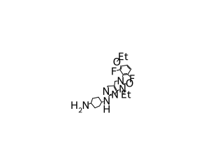 CCOc1ccc(F)c(N2Cc3cnc(NC4CCC(N)CC4)nc3N(CC)C2=O)c1F